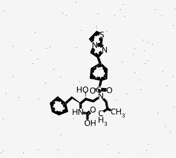 CC(C)CN(C[C@@H](O)[C@H](Cc1ccccc1)NC(=O)O)S(=O)(=O)c1ccc(-c2cn3ccsc3n2)cc1